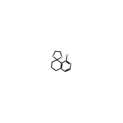 Clc1nccc2c1C1(CCC2)OCCO1